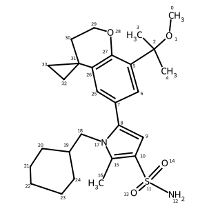 COC(C)(C)c1cc(-c2cc(S(N)(=O)=O)c(C)n2CC2CCCCC2)cc2c1OCCC21CC1